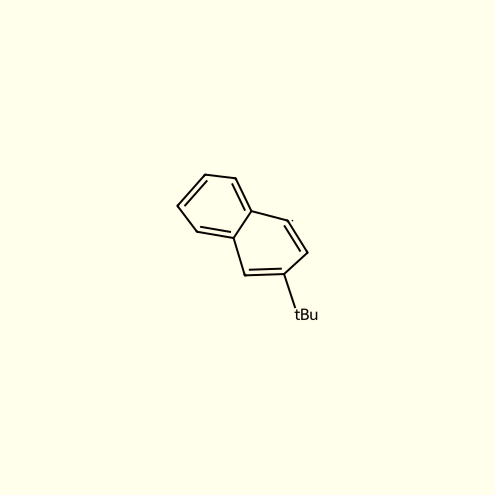 CC(C)(C)c1c[c]c2ccccc2c1